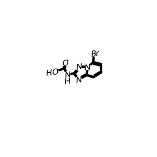 O=C(O)Nc1nc2cccc(Br)n2n1